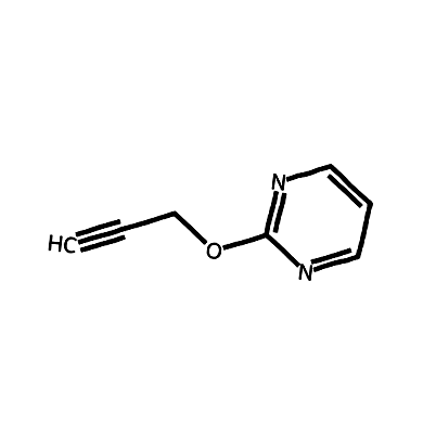 C#CCOc1ncccn1